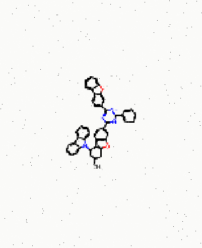 CC1C=C(n2c3ccccc3c3ccccc32)c2c(oc3cc(C4=NC(C5=CCCC=C5)NC(c5ccc6c(c5)oc5ccccc56)=N4)ccc23)C1